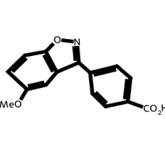 COc1ccc2onc(-c3ccc(C(=O)O)cc3)c2c1